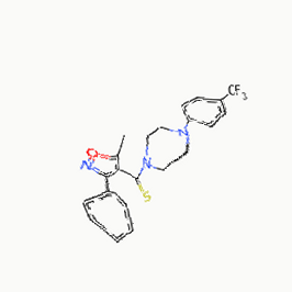 Cc1onc(-c2ccccc2)c1C(=S)N1CCN(c2ccc(C(F)(F)F)cc2)CC1